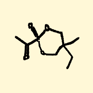 CCC1(C)COP(=O)(C(C)=O)OC1